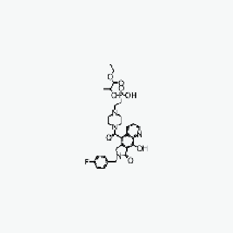 CCOC(=O)C(C)OP(=O)(O)CCN1CCN(C(=O)c2c3c(c(O)c4ncccc24)C(=O)N(Cc2ccc(F)cc2)C3)CC1